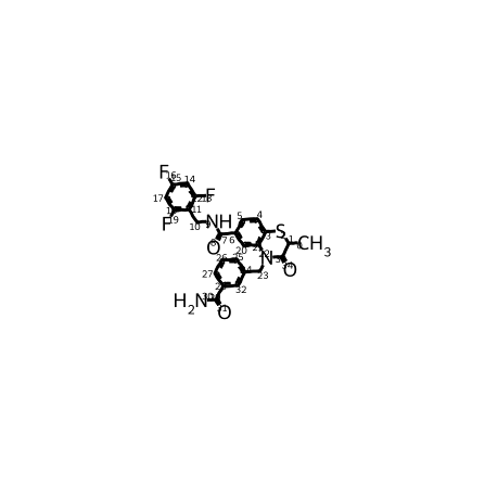 CC1Sc2ccc(C(=O)NCc3c(F)cc(F)cc3F)cc2N(Cc2cccc(C(N)=O)c2)C1=O